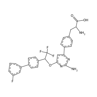 Nc1nc(OC(c2ccc(-c3cccc(F)c3)cc2)C(F)(F)F)cc(-c2ccc(CC(N)C(=O)O)cc2)n1